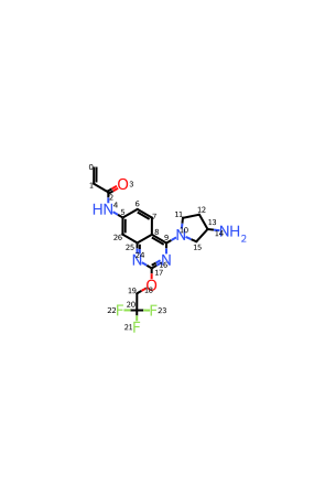 C=CC(=O)Nc1ccc2c(N3CCC(N)C3)nc(OCC(F)(F)F)nc2c1